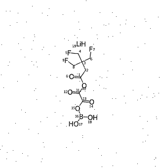 O=C(CC(CF)(CF)CF)OC(=O)C(=O)OB(O)O.[LiH]